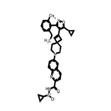 CCc1cccc(C)c1-c1noc(C2CC2)c1C1=CC2(CCN(c3ccc4nc(C(=O)N[S+]([O-])C5CC5)ccc4c3)CC2)C1